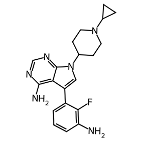 Nc1cccc(-c2cn(C3CCN(C4CC4)CC3)c3ncnc(N)c23)c1F